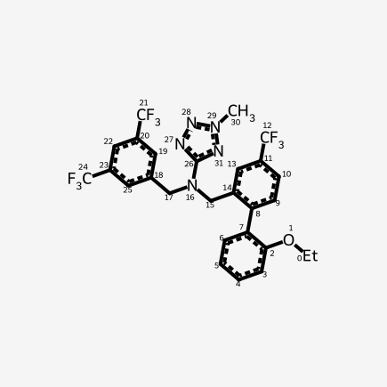 CCOc1ccccc1-c1ccc(C(F)(F)F)cc1CN(Cc1cc(C(F)(F)F)cc(C(F)(F)F)c1)c1nnn(C)n1